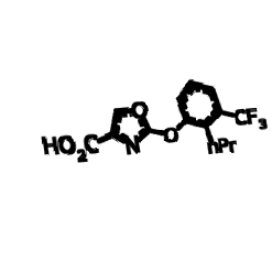 CCCc1c(Oc2nc(C(=O)O)co2)cccc1C(F)(F)F